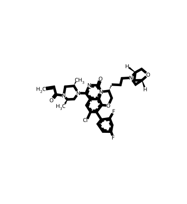 C=CC(=O)N1C[C@H](C)N(c2nc(=O)n3c4c(c(-c5ccc(F)cc5F)c(Cl)cc24)OC[C@H]3CCCN2C[C@@H]3C[C@H]2CO3)C[C@H]1C